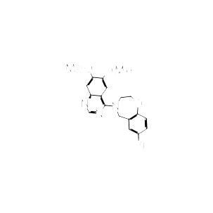 COc1cc2ncnc(N3CCOc4ccc(Br)cc4C3)c2cc1OC